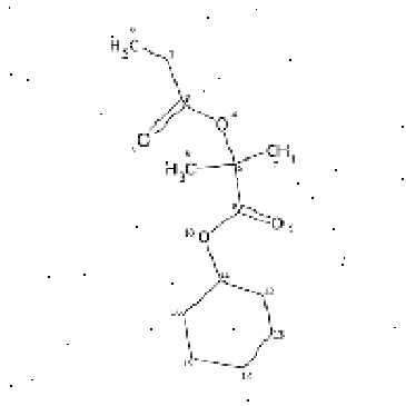 CCC(=O)OC(C)(C)C(=O)OC1CCCCC1